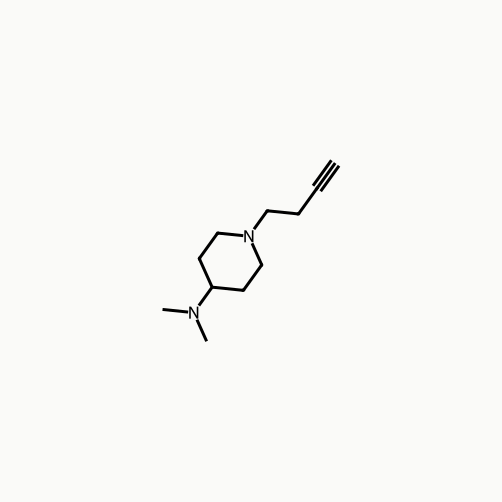 C#CCCN1CCC(N(C)C)CC1